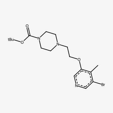 Cc1c(Br)cncc1OCCN1CCN(C(=O)OC(C)(C)C)CC1